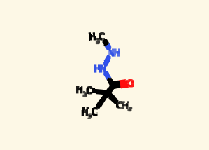 CNNC(=O)C(C)(C)C